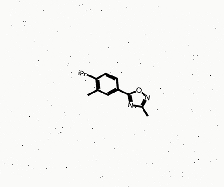 Cc1noc(-c2ccc(C(C)C)c(C)c2)n1